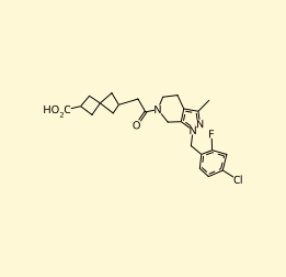 Cc1nn(Cc2ccc(Cl)cc2F)c2c1CCN(C(=O)CC1CC3(C1)CC(C(=O)O)C3)C2